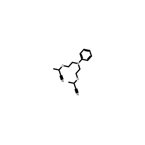 CC(C#N)OCCN(CCOC(C)C#N)c1ccccc1